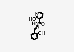 O=C(NN=Cc1ccccc1O)c1cccnc1O